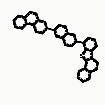 c1ccc2c(c1)ccc1cc(-c3ccc4cc(-c5cccc6c5sc5c7ccccc7ccc65)ccc4c3)ccc12